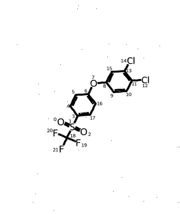 O=S(=O)(c1ccc(Oc2ccc(Cl)c(Cl)c2)cc1)C(F)(F)F